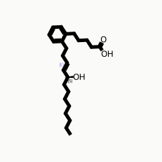 CCCCCCCC[C@H](O)/C=C/CCc1ccccc1CCCCC(=O)O